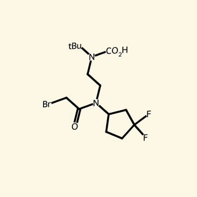 CC(C)(C)N(CCN(C(=O)CBr)C1CCC(F)(F)C1)C(=O)O